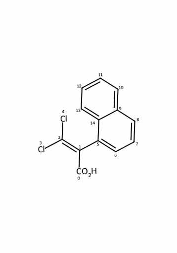 O=C(O)C(=C(Cl)Cl)c1cccc2ccccc12